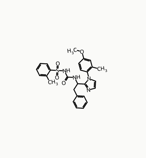 COc1ccc(-n2ccnc2C(Cc2ccccc2)NC(=O)NS(=O)(=O)c2ccccc2C)c(C)c1